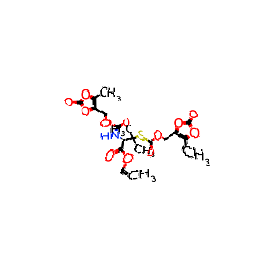 CCOC(=O)[C@H](NC(=O)OCc1oc(=O)oc1C)C(C)(C)SC(=O)OCc1oc(=O)oc1C